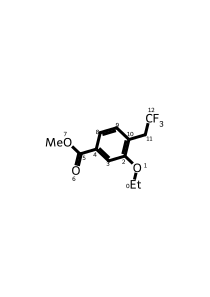 CCOc1cc(C(=O)OC)ccc1CC(F)(F)F